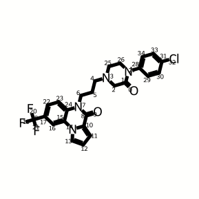 O=C1CN(CCCn2c(=O)c3cccn3c3cc(C(F)(F)F)ccc32)CCN1c1ccc(Cl)cc1